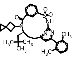 Cc1cccc(C)c1-c1cc2nc(n1)NS(=O)(=O)c1cccc(c1)C(=O)N(C1CC3(CC3)C1)[C@H](CC(C)(C)C)CC2